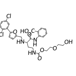 O=C(NCCC(NCc1ccc(-c2cc(Cl)ccc2Cl)o1)C(=O)Nc1ccccc1C(=O)O)OCCOCCO